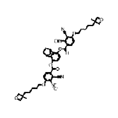 [C-]#[N+]c1c(OCCCCCC2(C)COC2)ccc(C(=O)Oc2ccc(OC(=O)c3ccc(OCCCCCC4(C)COC4)c(C#N)c3[N+]#[C-])c3c2C2CCC3C2)c1C#N